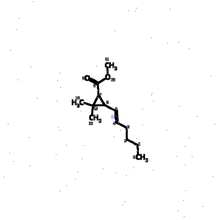 CCCC/C=C/C1C(C(=O)OC)C1(C)C